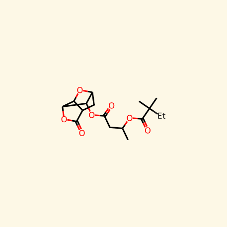 CCC(C)(C)C(=O)OC(C)CC(=O)OC1C2CC3C(=O)OC1C3O2